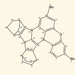 CC(C)(C)c1ccc2c(c1)Oc1cc(C(C)(C)C)cc3c1B2c1c2c(n4c5c(n-3c14)C1CCC5CC1)C1CCC2CC1